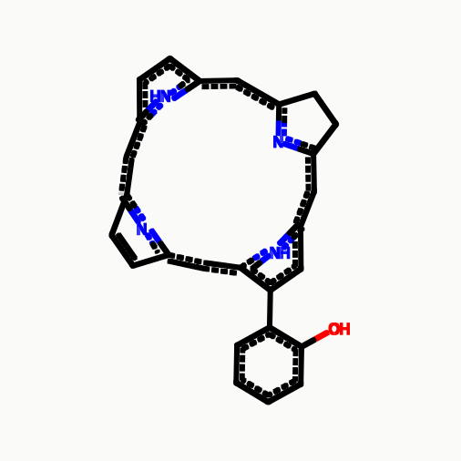 Oc1ccccc1-c1cc2cc3nc(cc4ccc(cc5nc(cc1[nH]2)C=C5)[nH]4)CC3